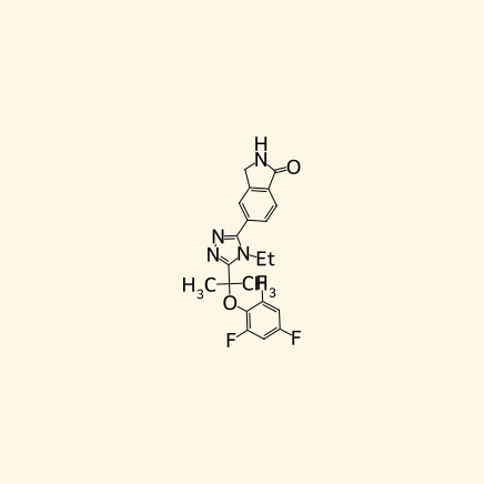 CCn1c(-c2ccc3c(c2)CNC3=O)nnc1C(C)(C)Oc1c(F)cc(F)cc1F